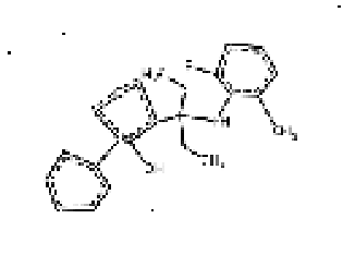 CCC(CC)(Pc1c(C)cccc1F)c1cccc(-c2ccccc2)c1O